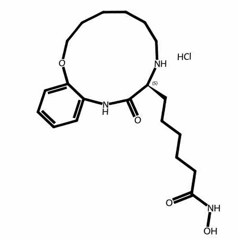 Cl.O=C(CCCCC[C@@H]1NCCCCCCOc2ccccc2NC1=O)NO